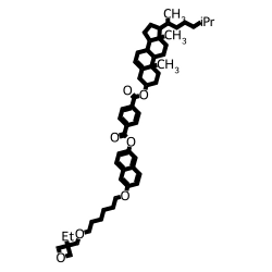 CCC1(COCCCCCCOc2ccc3cc(OC(=O)c4ccc(C(=O)OC5CCC6(C)C(=CCC7C6CCC6(C)C(C(C)CCCC(C)C)CCC76)C5)cc4)ccc3c2)COC1